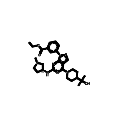 CCOC(=O)c1cccc(-n2ncc3c(N4CCC(C(C)(C)O)CC4)nc(N[C@H]4CCN(C)C4)nc32)c1